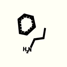 CCCN.c1ccccc1